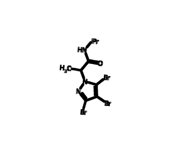 CC(C)NC(=O)C(C)n1nc(Br)c(Br)c1Br